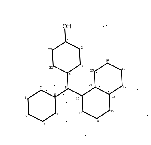 OC1CCC(C(C2CCCCC2)C2CCCC3CCCCC32)CC1